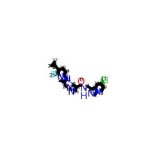 O=C(NCc1ncn2ccc(Cl)cc12)c1cnn(Cc2cn3c(F)c(C4CC4)ccc3n2)c1